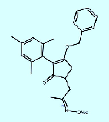 CO/N=C(/C)CC1CC(OCc2ccccc2)=C(c2c(C)cc(C)cc2C)C1=O